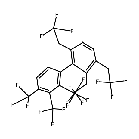 FC(F)(F)Cc1[c]cc(CC(F)(F)F)c(CC(F)(F)F)c1-c1ccc(C(F)(F)F)c(C(F)(F)F)c1C(F)(F)F